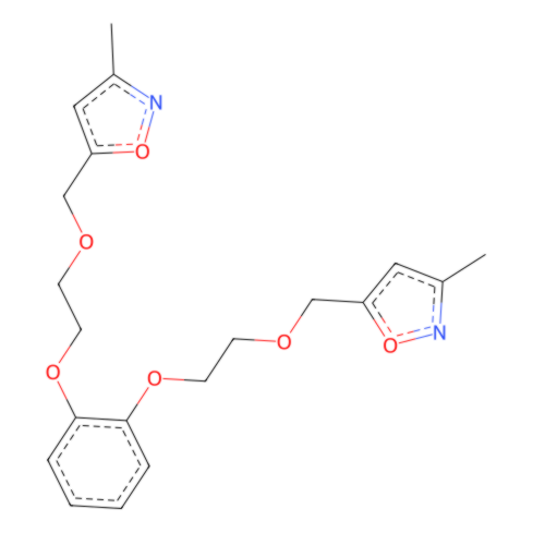 Cc1cc(COCCOc2ccccc2OCCOCc2cc(C)no2)on1